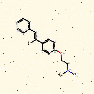 CC/C(=C\c1ccccc1)c1ccc(OCCN(C)C)cc1